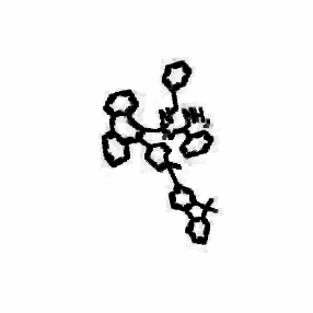 CC1(c2ccc3c(c2)C(C)(C)c2ccccc2-3)C=CC(c2c(C(/N=C(\N)c3ccccc3)=N/Cc3ccccc3)c3ccccc3c3ccccc23)=CC1